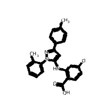 Cc1ccc(-c2cc(Nc3cc(Cl)ccc3C(=O)O)n(-c3ccccc3C)n2)cc1